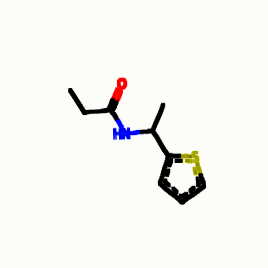 CCC(=O)NC(C)c1cccs1